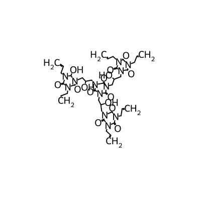 C=CCN1C(=O)N(CC=C)C(O)N(CC(O)Cn2c(=O)n(CC(O)Cn3c(=O)n(CC=C)c(=O)n(CC=C)c3=O)c(=O)n(CC(O)Cn3c(=O)n(CC=C)c(=O)n(CC=C)c3=O)c2=O)C1=O